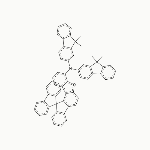 CC1(C)c2ccccc2-c2ccc(N(c3ccc4c(c3)C(C)(C)c3ccccc3-4)c3cccc4c3oc3ccc5c(c34)C3(c4ccccc4-c4ccccc43)c3ccccc3-5)cc21